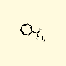 CC(F)C1=CC=CC=CC1